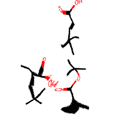 C=C(C)C(=O)OC(C)(C)C.CC(=CC(C)(C)C)C(=O)O.CC(C)(C)C=CC(=O)O